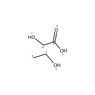 CCO.O=C(O)CO